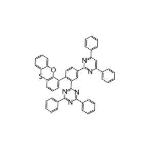 c1ccc(-c2cc(-c3ccccc3)nc(-c3ccc(-c4cccc5c4Oc4ccccc4S5)c(-c4nc(-c5ccccc5)nc(-c5ccccc5)n4)c3)n2)cc1